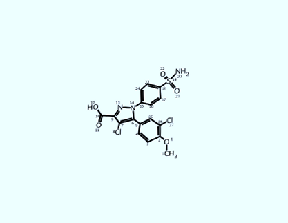 COc1ccc(-c2c(Cl)c(C(=O)O)nn2-c2ccc(S(N)(=O)=O)cc2)cc1Cl